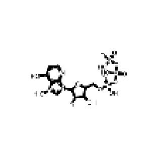 C[n+]1cn(C2OC(COP(=O)(O)OP(=O)(O)OP(=O)(O)O)C(O)C2O)c2nccc(O)c21